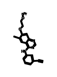 C#Cc1cccc(Nc2ncnc3cc(OCCOCCC)c(C)cc23)c1